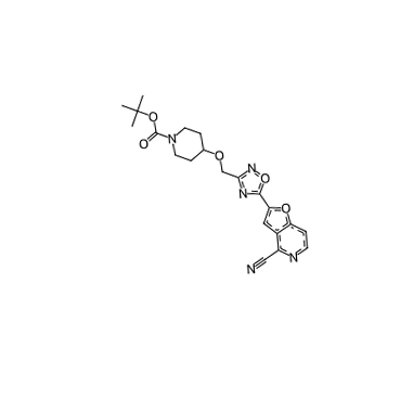 CC(C)(C)OC(=O)N1CCC(OCc2noc(-c3cc4c(C#N)nccc4o3)n2)CC1